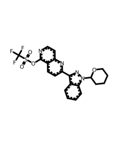 O=S(=O)(Oc1nccc2nc(-c3nn(C4CCCCO4)c4ccccc34)ccc12)C(F)(F)F